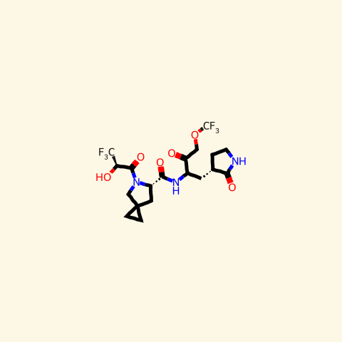 O=C(COC(F)(F)F)C(C[C@@H]1CCNC1=O)NC(=O)[C@@H]1CC2(CC2)CN1C(=O)[C@@H](O)C(F)(F)F